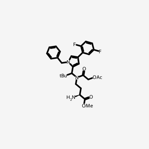 COC(=O)[C@@H](N)CCN(C(=O)COC(C)=O)C(c1cc(-c2cc(F)ccc2F)cn1Cc1ccccc1)C(C)(C)C